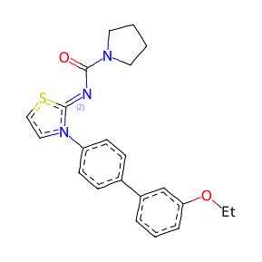 CCOc1cccc(-c2ccc(-n3ccs/c3=N\C(=O)N3CCCC3)cc2)c1